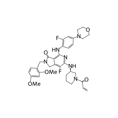 C=CC(=O)N1CCC[C@@H](Nc2nc(Nc3ccc(N4CCOCC4)cc3F)c3c(c2F)CN(Cc2ccc(OC)cc2OC)C3=O)C1